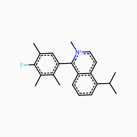 Cc1cc(-c2c3cccc(C(C)C)c3cc[n+]2C)c(C)c(C)c1F